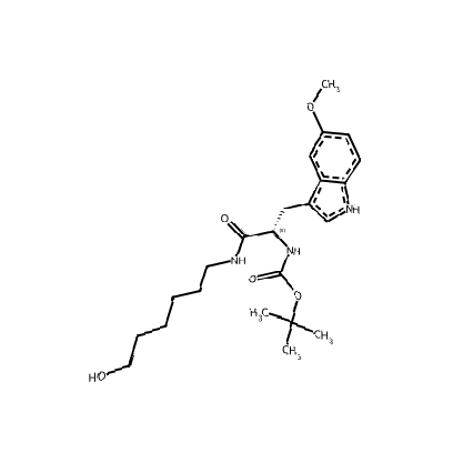 COc1ccc2[nH]cc(C[C@H](NC(=O)OC(C)(C)C)C(=O)NCCCCCCO)c2c1